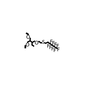 C=COCC(COC=C)C(CC)COCCSCCC(F)(F)C(F)(F)C(F)(F)C(F)(F)F